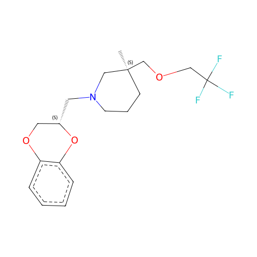 C[C@]1(COCC(F)(F)F)CCCN(C[C@H]2COc3ccccc3O2)C1